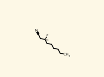 CCCCCC[C@H](F)CC#N